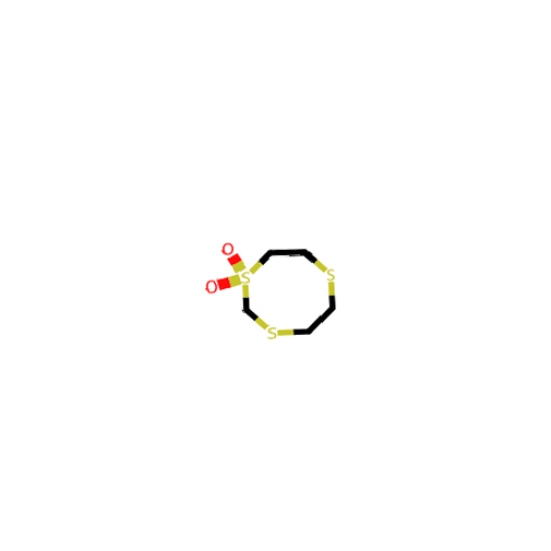 O=S1(=O)CCSCCSC1